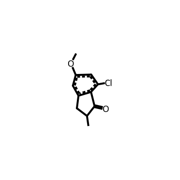 COc1cc(Cl)c2c(c1)CC(C)C2=O